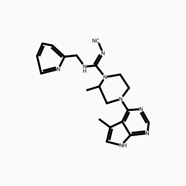 Cc1c[nH]c2ncnc(N3CCN(C(=NC#N)NCc4ccccn4)C(C)C3)c12